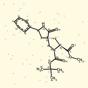 COC(=O)[C@@H]1C[C@@]2(CC(c3ccccc3)NC2=O)CN1C(=O)OC(C)(C)C